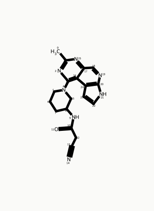 Cc1nc(N2CCCC(NC(=O)CC#N)C2)c2c(cnc3[nH]ccc32)n1